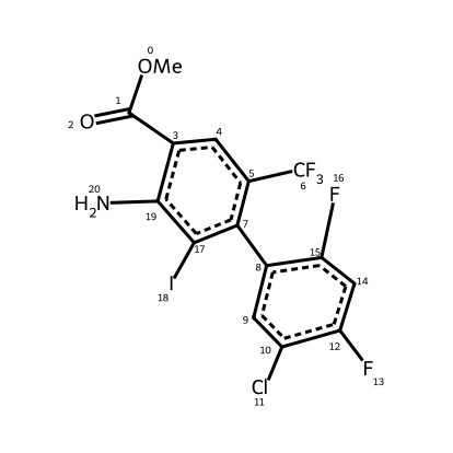 COC(=O)c1cc(C(F)(F)F)c(-c2cc(Cl)c(F)cc2F)c(I)c1N